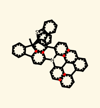 CC1(c2ccccc2)c2ccccc2-c2ccc(N(c3ccccc3-c3cccc4cccc(-c5ccccc5)c34)c3ccccc3-c3cccc4sc5ccccc5c34)cc21